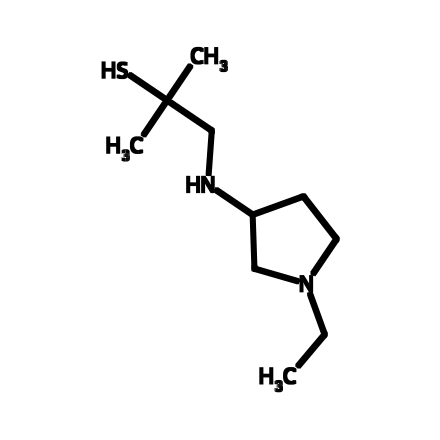 CCN1CCC(NCC(C)(C)S)C1